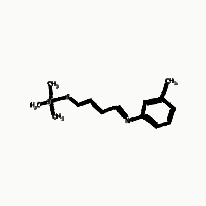 Cc1cccc(N=CCCCS[Si](C)(C)C)c1